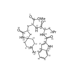 COC(=O)C(CC1CC2(CCN(C(C)=O)CC2)NC1=O)NC(=O)C(CC(C)C)NC(=O)c1cc2ccccc2[nH]1